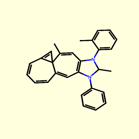 CC1=CC2=C(C=C3C=CC=CC4=CC134)N(c1ccccc1)C(C)N2c1ccccc1C